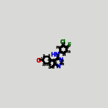 O=C1CCc2c([se]c3ncnc(Nc4ccc(F)c(Cl)c4)c23)C1